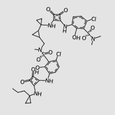 CCCC1(Nc2c(Nc3ccc(Cl)c(S(=O)(=O)N(C)CC4CC4C4(Nc5c(Nc6ccc(Cl)c(S(=O)(=O)N(C)C)c6O)c(=O)c5=O)CC4)c3O)c(=O)c2=O)CC1